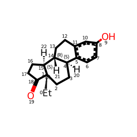 CC[C@]12CC[C@@H]3c4ccc(O)cc4CC[C@H]3[C@@H]1CCC2=O